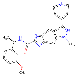 COc1cccc([C@@H](C)NC(=O)c2nc3cc4c(-c5ccncc5)nn(C)c4cc3[nH]2)c1